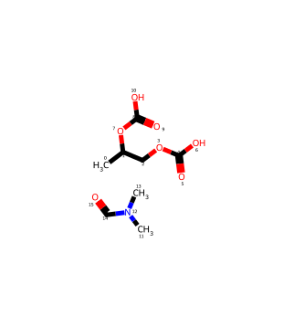 CC(COC(=O)O)OC(=O)O.CN(C)C=O